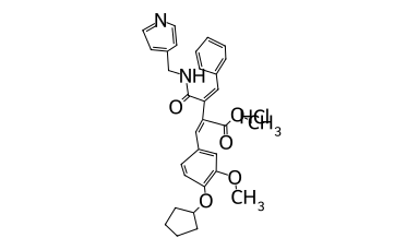 COC(=O)C(=Cc1ccc(OC2CCCC2)c(OC)c1)C(=Cc1ccccc1)C(=O)NCc1ccncc1.Cl